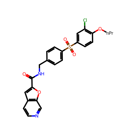 CCCOc1ccc(S(=O)(=O)c2ccc(CNC(=O)c3cc4ccncc4o3)cc2)cc1Cl